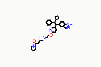 O=C(/C=C/CNCCOc1ccc(/C(=C(\c2ccccc2)C2CCC2)c2ccc3[nH]ncc3c2)cn1)N1CCCC1